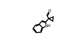 O=CC1(c2cc3ccccc3[nH]2)CC1